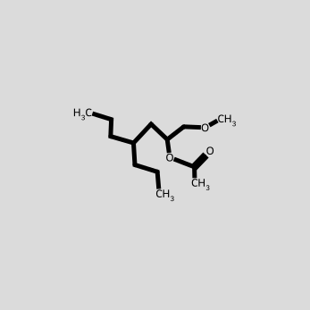 CCCC(CCC)CC(COC)OC(C)=O